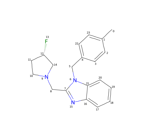 Cc1ccc(Cn2c(CN3CC[C@H](F)C3)nc3ccccc32)cc1